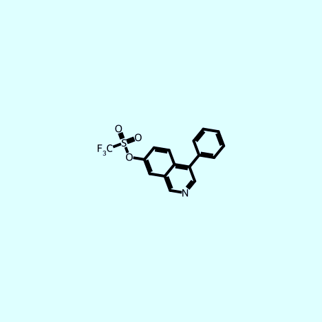 O=S(=O)(Oc1ccc2c(-c3ccccc3)cncc2c1)C(F)(F)F